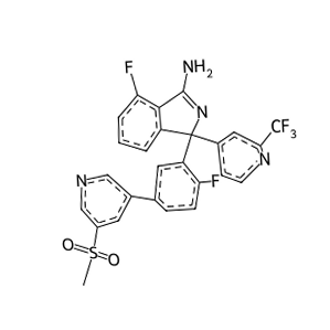 CS(=O)(=O)c1cncc(-c2ccc(F)c(C3(c4ccnc(C(F)(F)F)c4)N=C(N)c4c(F)cccc43)c2)c1